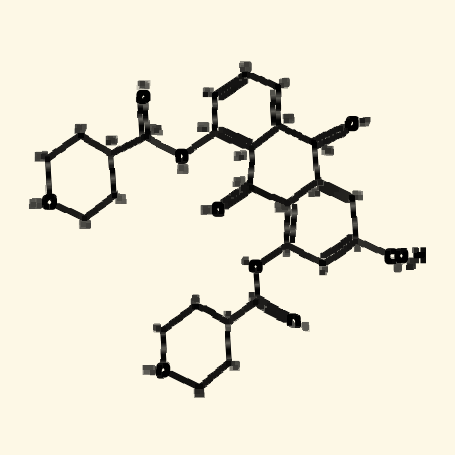 O=C(O)c1cc(OC(=O)C2CCOCC2)c2c(c1)C(=O)c1cccc(OC(=O)C3CCOCC3)c1C2=O